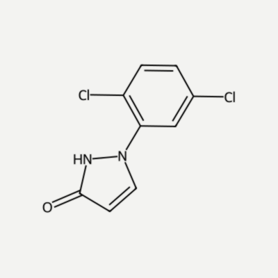 O=c1ccn(-c2cc(Cl)ccc2Cl)[nH]1